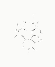 CS(=O)(=O)c1ccc2[nH]c3c(c2c1)C(=C1NC(N)=NC1=O)CCNC3=O